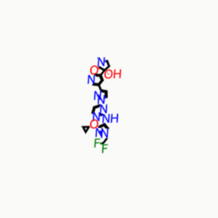 CN1CC[C@@](O)(c2cncc(-c3ccn(-c4ccnc(Nc5cn(CC(F)F)nc5OC5CC5)n4)n3)c2)C1=O